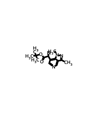 Cc1nn(C)c2c(C(Br)C(=O)OC(C)(C)C)cncc12